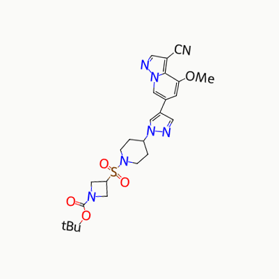 COc1cc(-c2cnn(C3CCN(S(=O)(=O)C4CN(C(=O)OC(C)(C)C)C4)CC3)c2)cn2ncc(C#N)c12